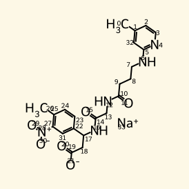 Cc1ccnc(NCCCC(=O)NCC(=O)NC(CC(=O)[O-])c2ccc(C)c([N+](=O)[O-])c2)c1.[Na+]